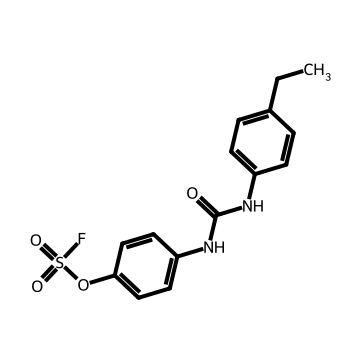 CCc1ccc(NC(=O)Nc2ccc(OS(=O)(=O)F)cc2)cc1